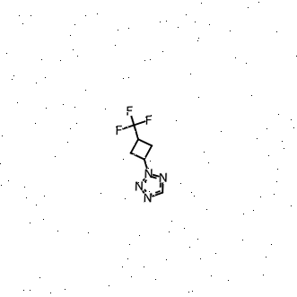 FC(F)(F)C1CC(n2ncnn2)C1